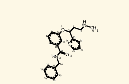 CNCCC(Oc1cccc(C(=O)NCc2ccccc2)c1)c1cccs1